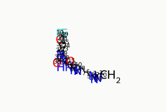 C=Cc1cn(CCCCc2ccc(NC(=O)CN3CCN(Cc4cccc(OC(F)(F)F)c4)CC3=O)nn2)nn1